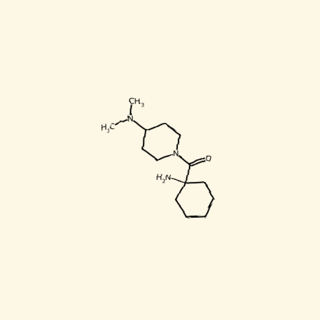 CN(C)C1CCN(C(=O)C2(N)CCCCC2)CC1